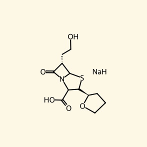 O=C(O)C1C([C@H]2CCCO2)SC2[C@@H](CCO)C(=O)N12.[NaH]